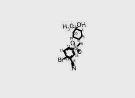 C[C@]1(O)CC[C@H](CS(=O)(=O)c2ccc(Br)c(C#N)c2)CC1